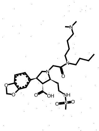 CCCCN(CCCCN(C)C)C(=O)CN1C[C@H](c2ccc3c(c2)OCO3)[C@@H](C(=O)O)[C@@H]1CCNS(C)(=O)=O